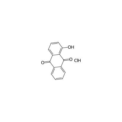 Cl.O=C1c2ccccc2C(=O)c2c(O)cccc21